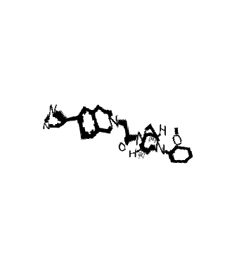 COC1CCCCC1N1C[C@H]2C[C@@H]1CN2C(=O)CN1CCc2cc(-c3cncnc3)ccc2C1